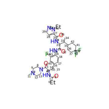 CCC(=O)N[C@@H](C(=O)N1CCN(C)CC1)[C@@H](C)c1ccc(NC(=O)C(NC(=O)c2ccnn2CC)C(C)C2CCC(F)(F)CC2)c(F)c1